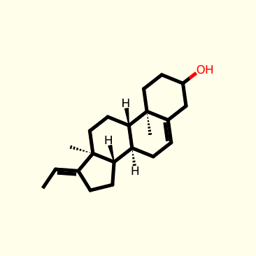 C/C=C1\CC[C@H]2[C@@H]3CC=C4CC(O)CC[C@]4(C)[C@H]3CC[C@]12C